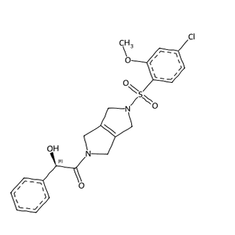 COc1cc(Cl)ccc1S(=O)(=O)N1CC2=C(CN(C(=O)[C@H](O)c3ccccc3)C2)C1